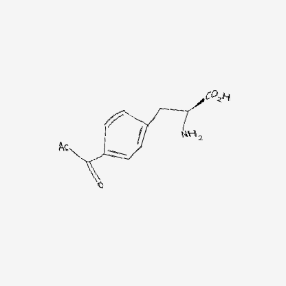 CC(=O)C(=O)c1ccc(C[C@H](N)C(=O)O)cc1